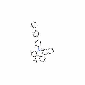 CC1(C)c2ccccc2-c2c(N(c3ccc(-c4ccc(-c5ccccc5)cc4)cc3)c3ccc4ccccc4c3)cccc21